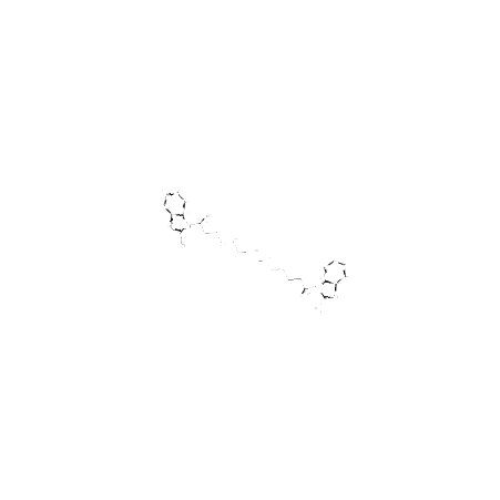 Nc1nc2ccccc2n1C(=O)CCCCCSSCCCCCC(=O)n1c(N)nc2ccccc21